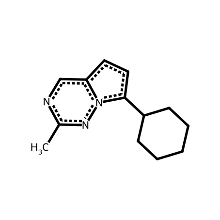 Cc1ncc2ccc(C3CCCCC3)n2n1